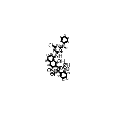 CN(c1ccccc1)c1nc(Cl)nc(Nc2cccc3cc(S(=O)(=O)O)c(/N=N/c4ccccc4S(=O)(=O)O)c(O)c23)n1